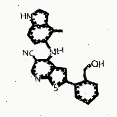 Cc1c(Nc2c(C#N)cnc3sc(-c4ccccc4CO)cc23)ccc2[nH]ccc12